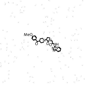 COc1ccc(C(=O)C2CCN(C3CCN(CC(=O)Nc4nnc5ccccn45)C3=O)CC2)cc1